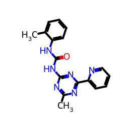 Cc1nc(NC(=O)Nc2ccccc2C)nc(-c2ccccn2)n1